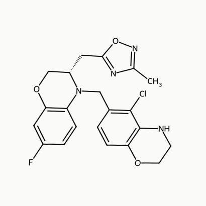 Cc1noc(C[C@H]2COc3cc(F)ccc3N2Cc2ccc3c(c2Cl)NCCO3)n1